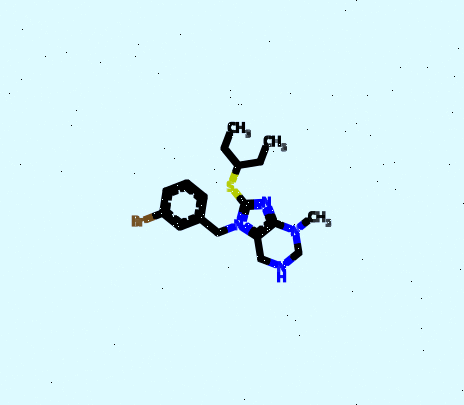 CCC(CC)Sc1nc2c(n1Cc1cccc(Br)c1)CNCN2C